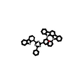 C1=Cc2c(oc3ccccc23)C(c2nc(-c3ccccc3)nc(-c3cccc(-n4c5ccccc5c5ccc6c7ccccc7n(-c7ccccc7)c6c54)c3)n2)C1